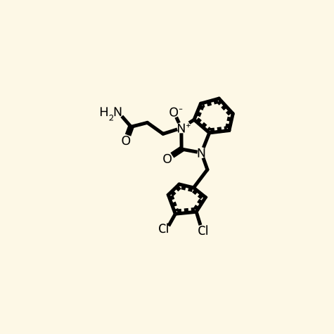 NC(=O)CC[N+]1([O-])C(=O)N(Cc2ccc(Cl)c(Cl)c2)c2ccccc21